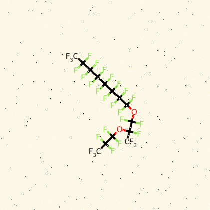 FC(F)(F)C(F)(F)C(F)(F)OC(F)(C(F)(F)F)C(F)(F)OC(F)(F)C(F)(F)C(F)(F)C(F)(F)C(F)(F)C(F)(F)C(F)(F)C(F)(F)F